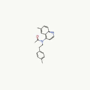 CC(=O)N(CCc1ccc(C)cc1)c1ccnc2ccc(C)cc12